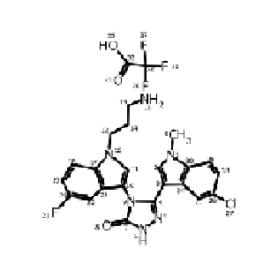 Cn1cc(-c2n[nH]c(=O)n2-c2cn(CCCN)c3ccc(F)cc23)c2cc(Cl)ccc21.O=C(O)C(F)(F)F